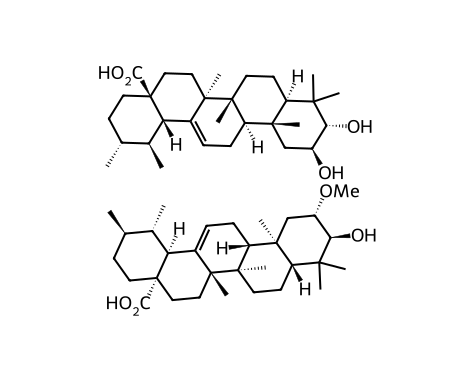 CO[C@H]1C[C@]2(C)[C@H]3CC=C4[C@@H]5[C@@H](C)[C@H](C)CC[C@]5(C(=O)O)CC[C@@]4(C)[C@]3(C)CC[C@H]2C(C)(C)[C@@H]1O.C[C@H]1[C@H](C)CC[C@]2(C(=O)O)CC[C@]3(C)C(=CC[C@@H]4[C@@]5(C)C[C@H](O)[C@@H](O)C(C)(C)[C@@H]5CC[C@]43C)[C@H]12